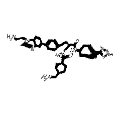 NCCn1cnc2cc(-c3ccc(C[C@H](NC(=O)C4CCC(CN)CC4)C(=O)Nc4ccc(-c5nn[nH]n5)cc4)cc3)ccc21